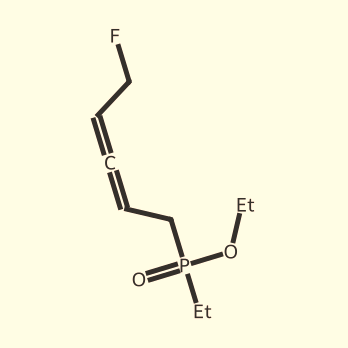 CCOP(=O)(CC)CC=C=CCF